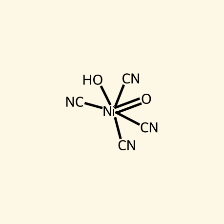 N#[C][Ni](=[O])([OH])([C]#N)([C]#N)[C]#N